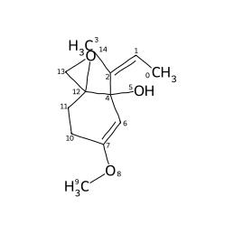 C/C=C(/C)C1(O)C=C(OC)CCC12CO2